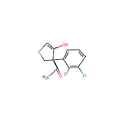 CC(=O)C1(c2cccc(Cl)c2Cl)CSC=C1O